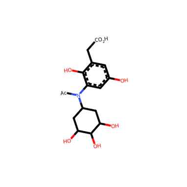 CC(=O)N(c1cc(O)cc(CC(=O)O)c1O)C1CC(O)C(O)C(O)C1